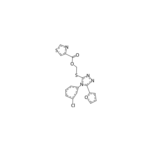 O=C(OCSc1nnc(-c2ccco2)n1-c1cccc(Cl)c1)c1cscn1